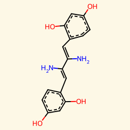 NC(=C\c1ccc(O)cc1O)/C(N)=C/c1ccc(O)cc1O